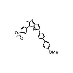 COc1ccc(-c2ccc(-c3ccc4nc(C)c(-c5ccc(S(C)(=O)=O)cc5)n4n3)cc2)cc1